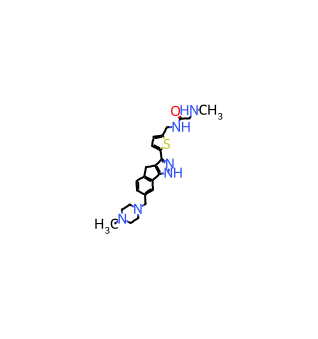 CNCC(=O)NCc1ccc(-c2n[nH]c3c2Cc2ccc(CN4CCN(C)CC4)cc2-3)s1